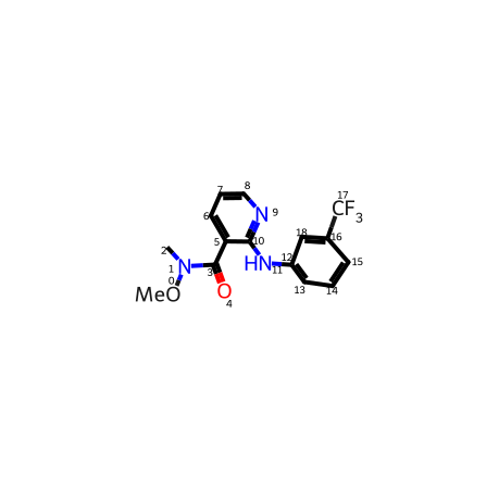 CON(C)C(=O)c1cccnc1Nc1cccc(C(F)(F)F)c1